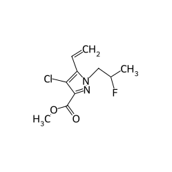 C=Cc1c(Cl)c(C(=O)OC)nn1CC(C)F